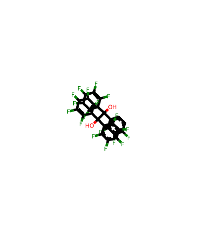 OC(C1=C(F)C(F)C(F)C(F)=C1F)(c1ccc(F)c(F)c1F)C(O)(C1=C(F)C(F)C(F)C(F)=C1F)c1c(F)c(F)c(F)c(F)c1F